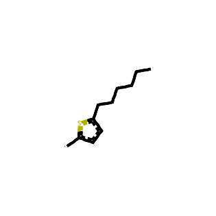 [CH2]c1ccc(CCCCCC)s1